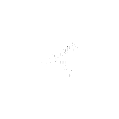 CON(C)C(=O)c1ncc2sc(N3CCN(S(=O)(=O)c4ccc(OC(F)(F)F)cc4)[C@@H](C(=O)NCc4ccc(OC(F)(F)F)cc4)C3)nc2n1